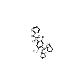 Cc1cc(S(=O)(=O)Nc2ccncn2)c(F)cc1O[C@]1(C)CCC[C@@H]1c1ccn[nH]1